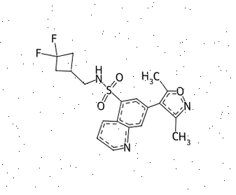 Cc1noc(C)c1-c1cc(S(=O)(=O)NCC2CC(F)(F)C2)c2cccnc2c1